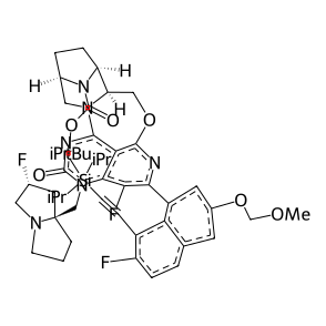 COCOc1cc(-c2nc3c4c(nc(=O)n(C[C@@]56CCCN5C[C@H](F)C6)c4c2F)N2C[C@H]4CC[C@@H]([C@H]2CO3)N4C(=O)OC(C)(C)C)c2c(C#C[Si](C(C)C)(C(C)C)C(C)C)c(F)ccc2c1